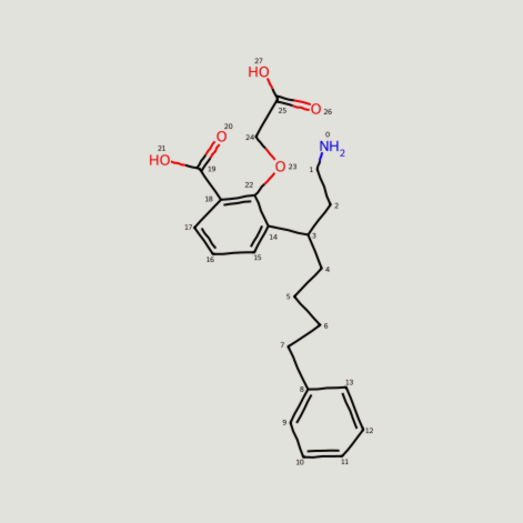 NCCC(CCCCc1ccccc1)c1cccc(C(=O)O)c1OCC(=O)O